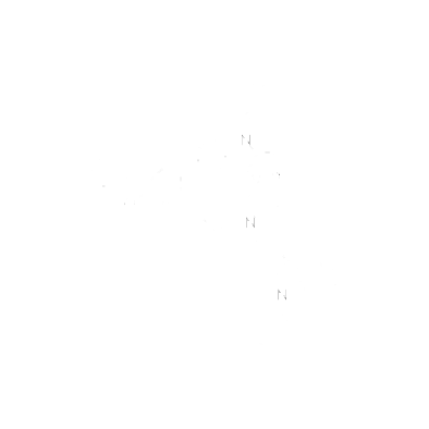 c1ccc(-n2c3ccccc3c3cc(-n4c5ccccc5c5c(-c6c(-c7ccc8oc9ccccc9c8c7)ccc7c6c6ccccc6n7-c6ccccc6)cccc54)ccc32)cc1